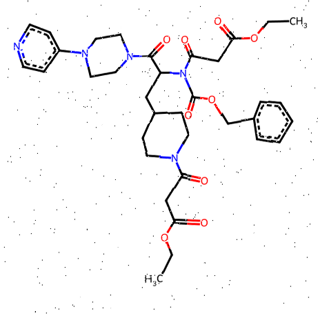 CCOC(=O)CC(=O)N1CCC(CC(C(=O)N2CCN(c3ccncc3)CC2)N(C(=O)CC(=O)OCC)C(=O)OCc2ccccc2)CC1